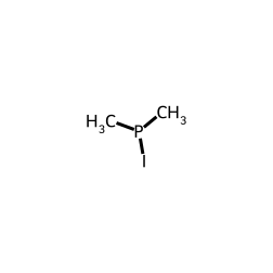 CP(C)I